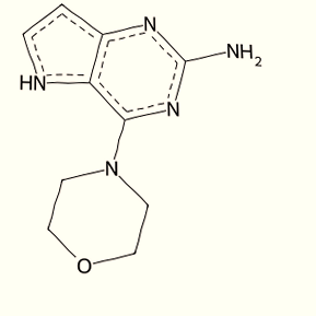 Nc1nc(N2CCOCC2)c2[nH]ccc2n1